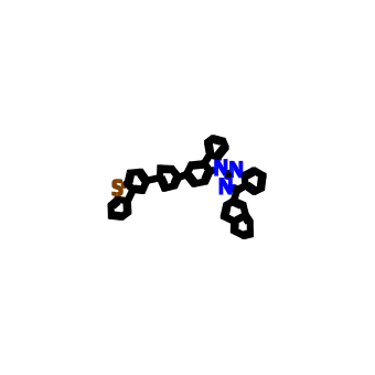 c1ccc2cc(-c3nc(-n4c5ccccc5c5cc(-c6ccc(-c7ccc8sc9ccccc9c8c7)cc6)ccc54)nc4ccccc34)ccc2c1